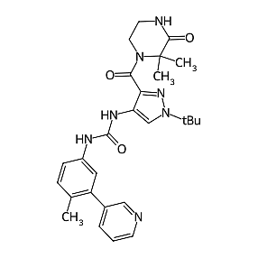 Cc1ccc(NC(=O)Nc2cn(C(C)(C)C)nc2C(=O)N2CCNC(=O)C2(C)C)cc1-c1cccnc1